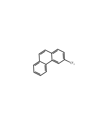 FC(F)(F)c1ccc2ccc3ccccc3c2c1